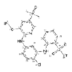 CC(C)Oc1cc(P(C)(C)=O)ccc1Nc1ncc(Cl)c(Nc2ccccc2S(=O)(=O)C(C)C)n1